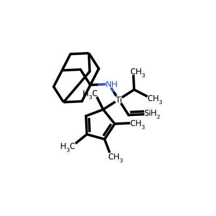 CC1=C[C](C)([Ti]([CH]=[SiH2])([NH]C23CC4CC(CC(C4)C2)C3)[CH](C)C)C(C)=C1C